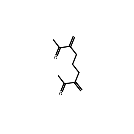 C=C(CCCC(=C)C(C)=O)C(C)=O